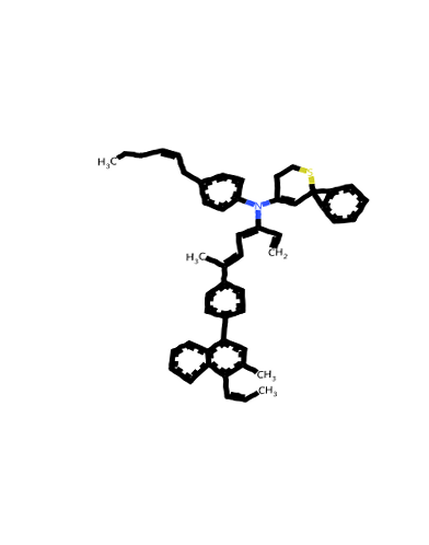 C=C/C(=C\C=C(/C)c1ccc(-c2cc(C)c(/C=C\C)c3ccccc23)cc1)N(C1=CC2(SCC1)c1ccccc12)c1ccc(C/C=C\CCC)cc1